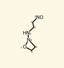 O=NCCNN1CCO1